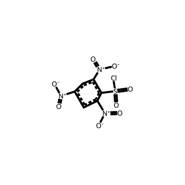 O=[N+]([O-])c1cc([N+](=O)[O-])c(S(=O)(=O)Cl)c([N+](=O)[O-])c1